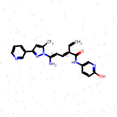 C=C/C(=C\C=C(/N)n1nc(-c2cccnc2)cc1C(F)(F)F)C(=O)Nc1ccc(O)nc1